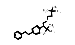 CC(C)(C)CCSCC(c1ccc(CCc2ccccc2)cc1)C(C)(C)N